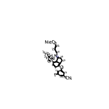 [2H]C([2H])([2H])S(=O)(=O)c1ccc(Oc2cc(F)cc(C#N)c2)c2c1/C(=N/CCCOC)CC2